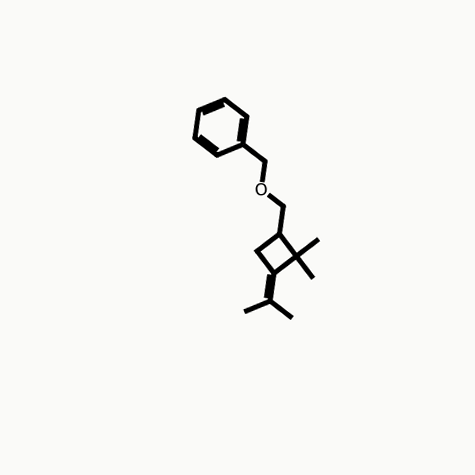 CC(C)=C1CC(COCc2ccccc2)C1(C)C